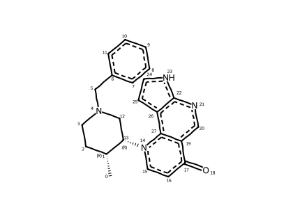 C[C@@H]1CCN(Cc2ccccc2)C[C@@H]1n1ccc(=O)c2cnc3[nH]ccc3c21